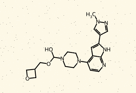 Cn1cc(-c2cc3c(N4CCN(C(O)OCC5COC5)CC4)ccnc3[nH]2)cn1